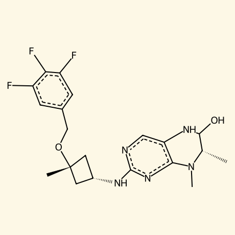 C[C@H]1C(O)Nc2cnc(N[C@H]3C[C@@](C)(OCc4cc(F)c(F)c(F)c4)C3)nc2N1C